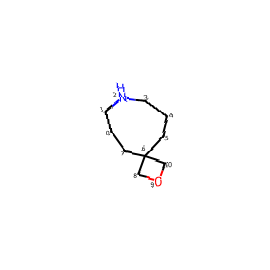 C1CNCCCC2(C1)COC2